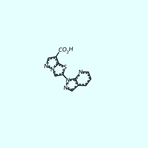 O=C(O)c1cnn2cc(-n3ncc4cccnc43)sc12